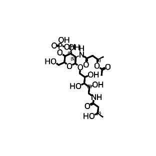 CC(=O)O[C@H](C)CC(=O)N[C@@H]1C(OCC(O)C(O)[C@H](O)CNC(=O)C[C@@H](C)O)OC(CO)C(OP(=O)(O)O)[C@H]1O